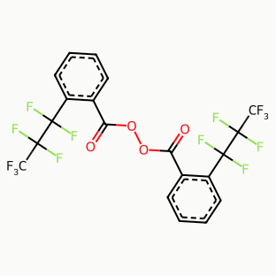 O=C(OOC(=O)c1ccccc1C(F)(F)C(F)(F)C(F)(F)F)c1ccccc1C(F)(F)C(F)(F)C(F)(F)F